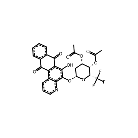 CC(=O)O[C@H]1[C@@H](OC(C)=O)C[C@@H](Oc2c(O)c3c(c4cccnc24)C(=O)c2ccccc2C3=O)O[C@H]1C(F)(F)F